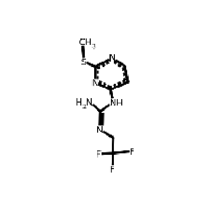 CSc1nccc(N/C(N)=N\CC(F)(F)F)n1